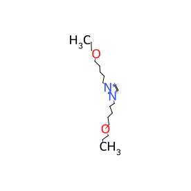 CCCOCCCCCn1cc[n+](CCCCCOCCC)c1